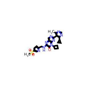 Cc1ncnc(C2CC2)c1-c1ncc2nc(NCc3ccc(S(C)(=O)=O)cn3)c(=O)n(C3CCC3)c2n1